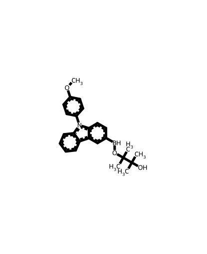 COc1ccc(-n2c3ccccc3c3cc(BOC(C)(C)C(C)(C)O)ccc32)cc1